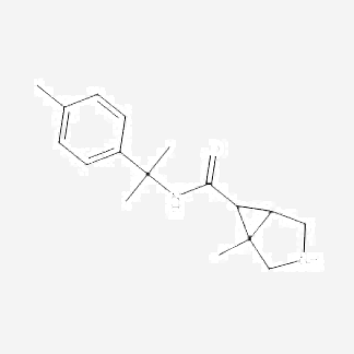 Cc1ccc(C(C)(C)NC(=O)C2C3CNCC32C)cc1